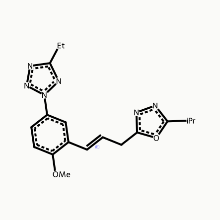 CCc1nnn(-c2ccc(OC)c(/C=C/Cc3nnc(C(C)C)o3)c2)n1